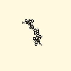 C#CCCN(Cc1ncc(-c2cc3c4c(c2)OCc2cc(-c5cnc(CN(CCC)C(=O)[C@H](NC(=O)C6CCCC6)c6ccccc6)[nH]5)cc(c2-4)OC3)[nH]1)C(=O)[C@H](NC(=O)C1CCCC1)c1ccccc1